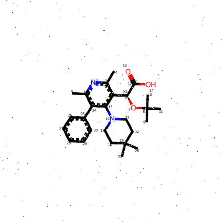 Cc1nc(C)c([C@H](OC(C)(C)C)C(=O)O)c(N2CCC(C)(C)CC2)c1-c1ccccc1